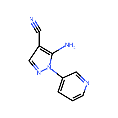 N#Cc1cnn(-c2cccnc2)c1N